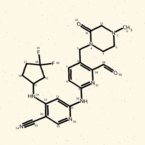 CN1CCN(Cc2ccc(Nc3cc(NC4CCC(F)(F)C4)c(C#N)cn3)nc2C=O)C(=O)C1